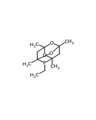 CCP1C2(C)CC3(C)OC(C)(CC1(C)O3)O2